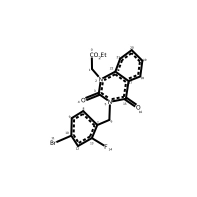 CCOC(=O)Cn1c(=O)n(Cc2ccc(Br)cc2F)c(=O)c2ccccc21